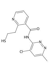 Cc1cc(Cl)c(NC(=O)c2cccnc2CCS)nn1